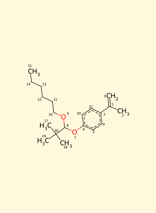 C=C(C)c1ccc(OC(OCCCCCC)C(C)(C)C)cc1